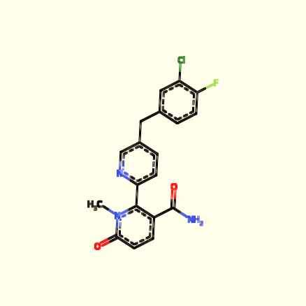 Cn1c(-c2ccc(Cc3ccc(F)c(Cl)c3)cn2)c(C(N)=O)ccc1=O